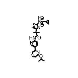 CC(C)Oc1cncc(-c2ccc(NC(=O)C(C)(C)c3csc(NS(=O)(=O)C4CC4)n3)nc2)n1